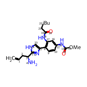 C=CC[C@H](N)c1nc(-c2ccc(NC(=O)OC)cc2NC(=O)CC(C)CC)c[nH]1